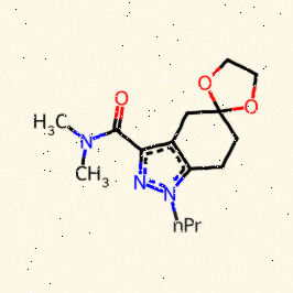 CCCn1nc(C(=O)N(C)C)c2c1CCC1(C2)OCCO1